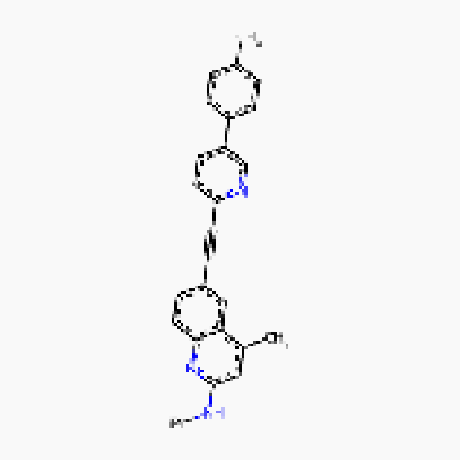 Cc1ccc(-c2ccc(C#Cc3ccc4nc(NC(C)C)cc(C)c4c3)nc2)cc1